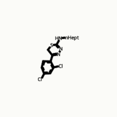 CCCCCCCNC1=NN=C(c2ccc(Cl)cc2Cl)CS1